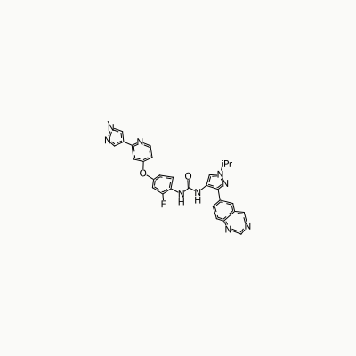 CC(C)n1cc(NC(=O)Nc2ccc(Oc3ccnc(-c4cnn(C)c4)c3)cc2F)c(-c2ccc3ncncc3c2)n1